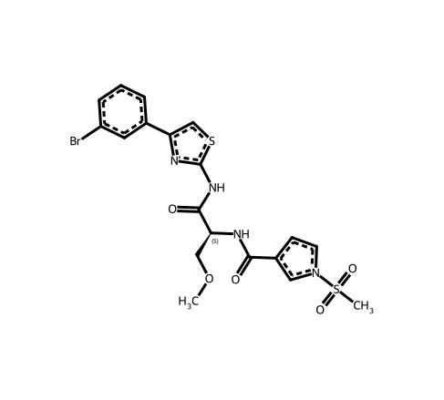 COC[C@H](NC(=O)c1ccn(S(C)(=O)=O)c1)C(=O)Nc1nc(-c2cccc(Br)c2)cs1